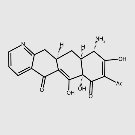 CC(=O)C1=C(O)[C@@H](N)[C@@H]2C[C@@H]3Cc4ncccc4C(=O)C3=C(O)[C@]2(O)C1=O